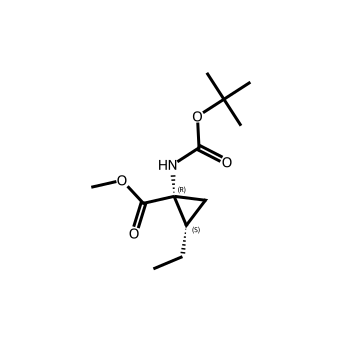 CC[C@H]1C[C@]1(NC(=O)OC(C)(C)C)C(=O)OC